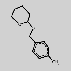 Cc1ccc(COC2CCCCO2)cc1